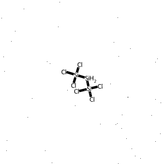 Cl[Si](Cl)(Cl)[SiH2][Si](Cl)(Cl)Cl